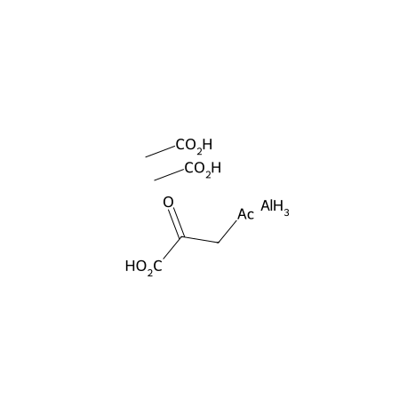 CC(=O)CC(=O)C(=O)O.CC(=O)O.CC(=O)O.[AlH3]